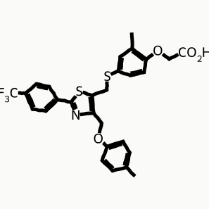 Cc1ccc(OCc2nc(-c3ccc(C(F)(F)F)cc3)sc2CSc2ccc(OCC(=O)O)c(C)c2)cc1